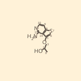 CC(O)COc1csc2ccnc(N)c12